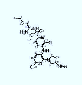 C=CS/C=C(\N)NS(=O)(=O)c1cc(Cl)c(Nc2ccc(Cl)nc2N2CCC(NC)C2)cc1F